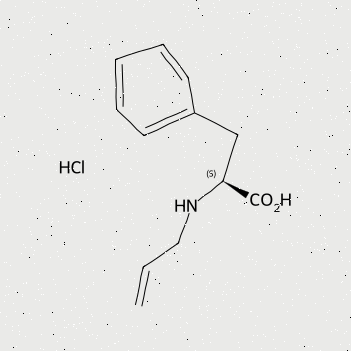 C=CCN[C@@H](Cc1ccccc1)C(=O)O.Cl